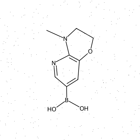 CN1CCOc2cc(B(O)O)cnc21